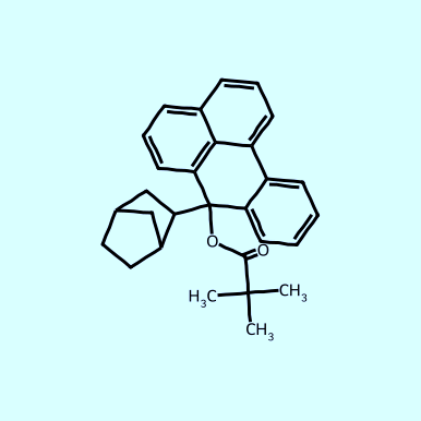 CC(C)(C)C(=O)OC1(C2CC3CCC2C3)c2ccccc2-c2cccc3cccc1c23